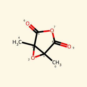 CC12OC1(C)C(=O)OC2=O